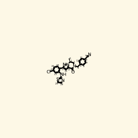 C[C@H]1CN(Cc2ccc(C#N)cc2)C(=O)c2cc(-c3ccc(Cl)cc3Nc3nccs3)nn21